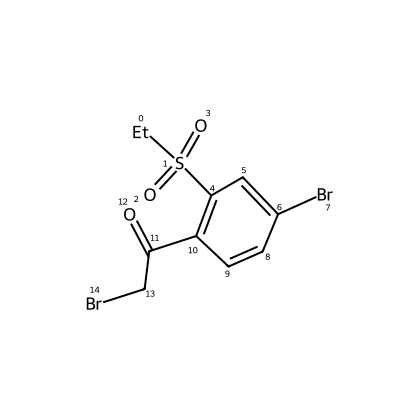 CCS(=O)(=O)c1cc(Br)ccc1C(=O)CBr